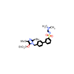 CCCCc1nc(SC)c(OC(=O)OCC)n1Cc1ccc(-c2cccc(S(=O)(=O)N=CN(C)C)c2)cc1